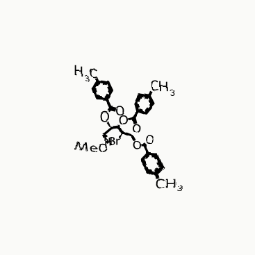 CO/N=C/[C@@H](OC(=O)c1ccc(C)cc1)[C@@H](OC(=O)c1ccc(C)cc1)[C@H](Br)COC(=O)c1ccc(C)cc1